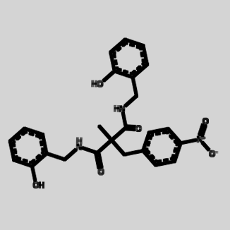 CC(Cc1ccc([N+](=O)[O-])cc1)(C(=O)NCc1ccccc1O)C(=O)NCc1ccccc1O